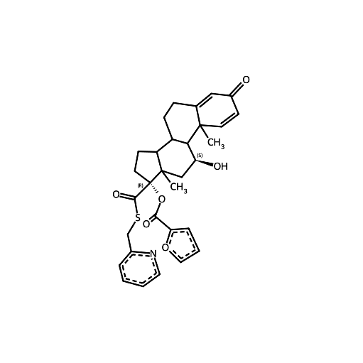 CC12C=CC(=O)C=C1CCC1C2[C@@H](O)CC2(C)C1CC[C@]2(OC(=O)c1ccco1)C(=O)SCc1ccccn1